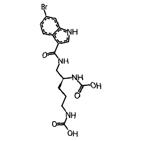 O=C(O)NCCC[C@@H](CNC(=O)c1c[nH]c2cc(Br)ccc12)NC(=O)O